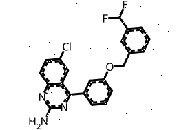 Nc1nc(-c2cccc(OCc3cccc(C(F)F)c3)c2)c2cc(Cl)ccc2n1